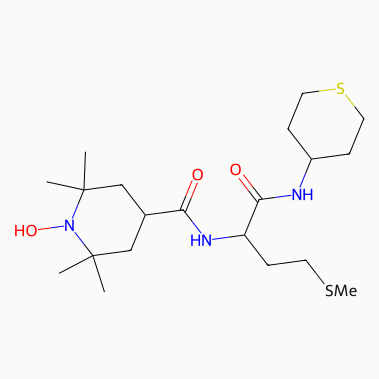 CSCCC(NC(=O)C1CC(C)(C)N(O)C(C)(C)C1)C(=O)NC1CCSCC1